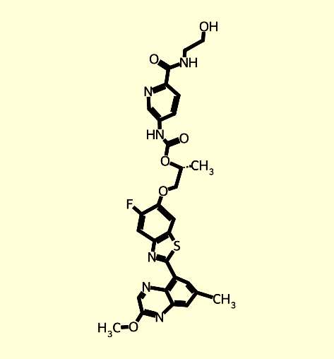 COc1cnc2c(-c3nc4cc(F)c(OC[C@@H](C)OC(=O)Nc5ccc(C(=O)NCCO)nc5)cc4s3)cc(C)cc2n1